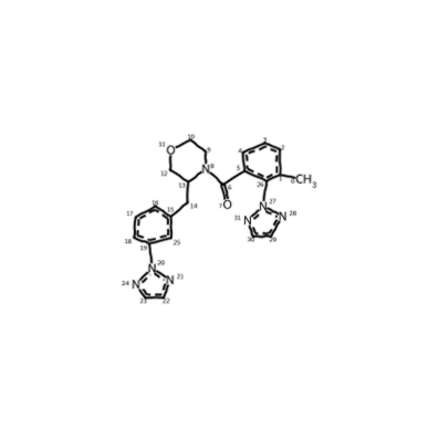 Cc1cccc(C(=O)N2CCOCC2Cc2cccc(-n3nccn3)c2)c1-n1nccn1